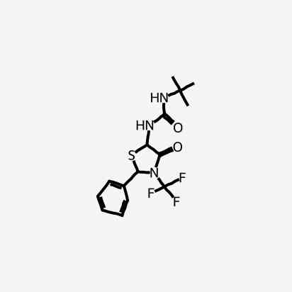 CC(C)(C)NC(=O)NC1SC(c2ccccc2)N(C(F)(F)F)C1=O